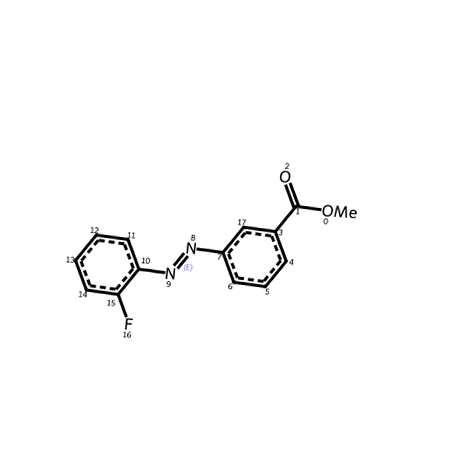 COC(=O)c1cccc(/N=N/c2ccccc2F)c1